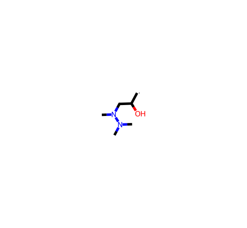 [CH2]C(O)CN(C)N(C)C